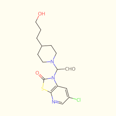 O=CC(N1CCC(CCCO)CC1)n1c(=O)sc2ncc(Cl)cc21